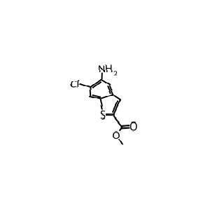 COC(=O)c1cc2cc(N)c(Cl)cc2s1